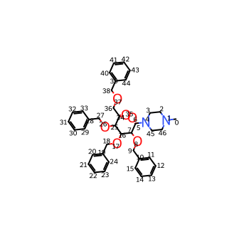 CN1CCN(C(=O)C(OCc2ccccc2)C(OCc2ccccc2)C(OCc2ccccc2)C(=O)COCc2ccccc2)CC1